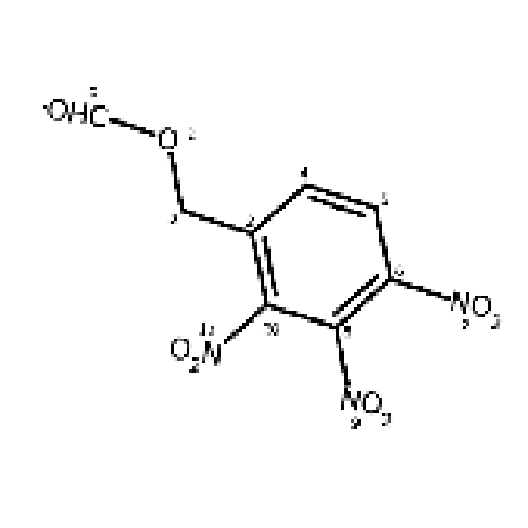 O=[C]OCc1ccc([N+](=O)[O-])c([N+](=O)[O-])c1[N+](=O)[O-]